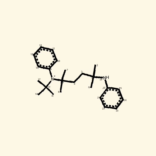 CC(C)(CCC(C)(C)N(c1ccccc1)C(C)(C)C)Nc1ccccc1